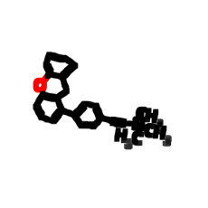 C[Si](C)(C)C#Cc1ccc(-c2cccc3c2Cc2ccccc2O3)cc1